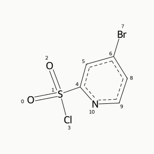 O=S(=O)(Cl)c1cc(Br)ccn1